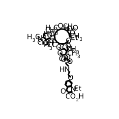 CC[C@H]1OC(=O)[C@H](C)[C@@H](O[C@H]2CC(C)(C)[C@@H](OS(=O)(=O)CCNCCOc3ccc4c(=O)c(C(=O)O)cn(CC)c4c3)[C@H](C)O2)[C@H](C)[C@@H](O[C@@H]2O[C@H](C)C[C@H](N(C)C)[C@H]2O)[C@](C)(O)C[C@@H](C)C(=O)[C@H](C)[C@H]2OC(=O)O[C@@]21C